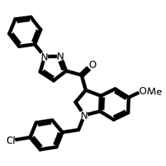 COc1ccc2c(c1)C(C(=O)c1ccn(-c3ccccc3)n1)CN2Cc1ccc(Cl)cc1